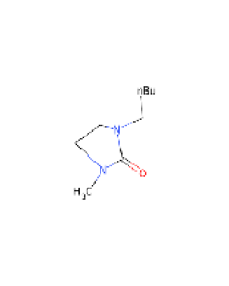 CCCCCN1CCN(C)C1=O